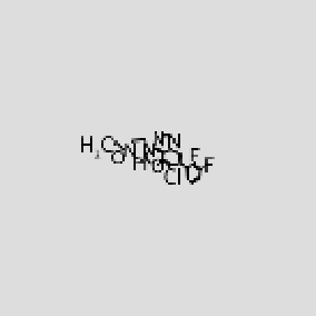 C=CC(=O)N1CCN2c3ncnc4cc(-c5cccc(F)c5F)c(Cl)c(c34)OC[C@@H]2C1